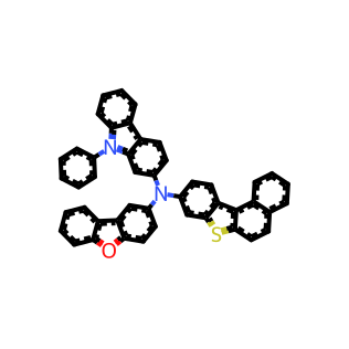 c1ccc(-n2c3ccccc3c3ccc(N(c4ccc5c(c4)sc4ccc6ccccc6c45)c4ccc5oc6ccccc6c5c4)cc32)cc1